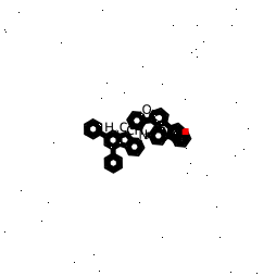 CC1(C)c2cc(-c3ccccc3)cc(-c3ccccc3)c2-c2cccc(N(c3ccc(-c4ccccc4)cc3)c3cccc4oc5ccc(-c6ccccc6)cc5c34)c21